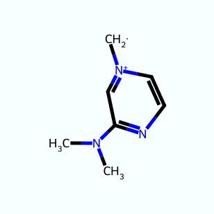 [CH2][n+]1ccnc(N(C)C)c1